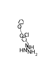 N=C(N)N/N=C/c1ccc(OCCCOc2ccccc2)c(Cl)c1